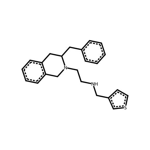 c1ccc(CC2Cc3ccccc3CN2CCNCc2ccsc2)cc1